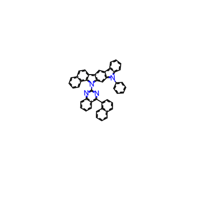 c1ccc(-n2c3ccccc3c3cc4c5ccc6ccccc6c5n(-c5nc(-c6cccc7ccccc67)c6ccccc6n5)c4cc32)cc1